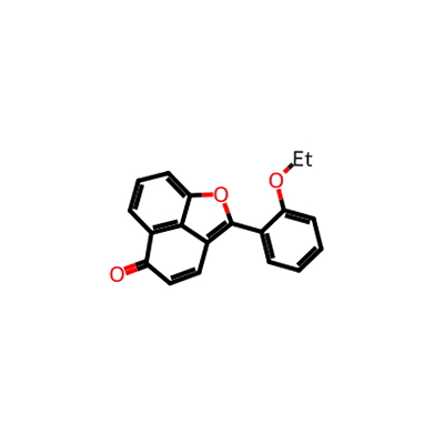 CCOc1ccccc1-c1oc2cccc3c2c1C=CC3=O